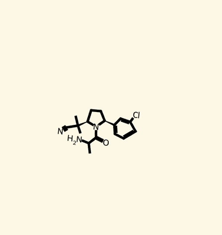 CC(N)C(=O)N1[C@H](c2cccc(Cl)c2)CC[C@@H]1C(C)(C)C#N